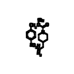 CC(C)(C)OC(=O)N1CCC(CN)CC1.Cc1ccc(S(=O)(=O)O)cc1